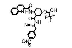 N#C[C@H](Cc1ccc([N+](=O)[O-])cc1)NC(=O)C1CCCCC1NC(=O)c1ccc2ccccc2n1.O=C(O)C(F)(F)F